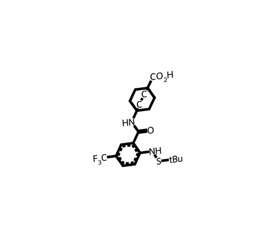 CC(C)(C)SNc1ccc(C(F)(F)F)cc1C(=O)NC12CCC(C(=O)O)(CC1)CC2